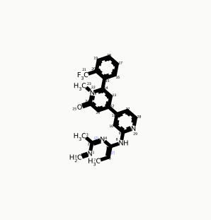 C=N/C(C)=N\C(=C/C)Nc1cc(-c2cc(-c3ccccc3C(F)(F)F)n(C)c(=O)c2)ccn1